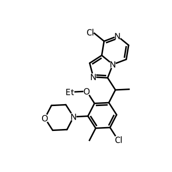 CCOc1c(C(C)c2ncc3c(Cl)nccn23)cc(Cl)c(C)c1N1CCOCC1